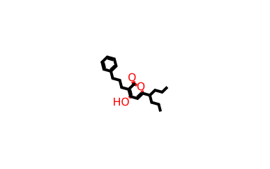 CCCC(CCC)c1cc(O)c(CCCc2ccccc2)c(=O)o1